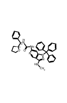 CNc1nn(C(c2ccccc2)(c2ccccc2)c2ccccc2)c2cc(NC(=O)N[C@@H](c3ccccc3)[C@@H]3CCCO3)ncc12